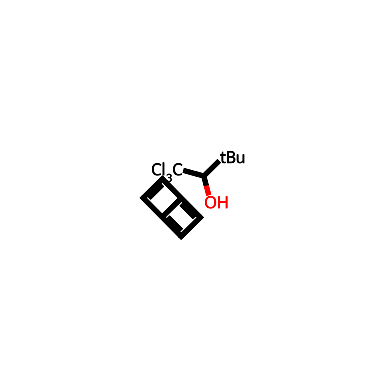 CC(C)(C)C(O)C(Cl)(Cl)Cl.c1cc2ccc1-2